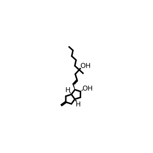 C=C1C[C@H]2C[C@@H](O)[C@H](C=CCC(C)(O)CCCCC)[C@@H]2C1